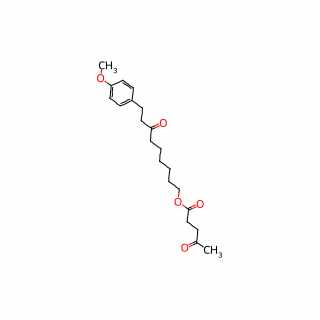 COc1ccc(CCC(=O)CCCCCCOC(=O)CCC(C)=O)cc1